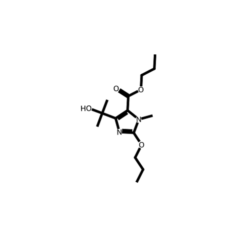 CCCOC(=O)c1c(C(C)(C)O)nc(OCCC)n1C